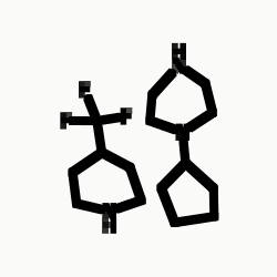 C1CCC(N2CCNCC2)C1.FC(F)(F)C1CCNCC1